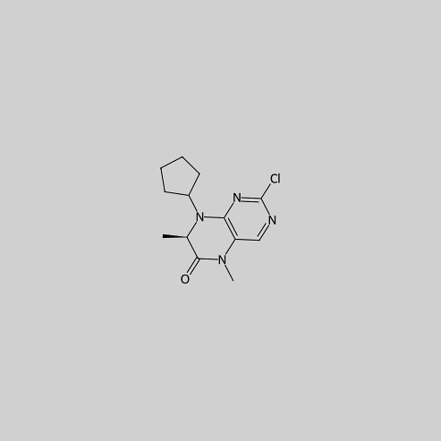 C[C@@H]1C(=O)N(C)c2cnc(Cl)nc2N1C1CCCC1